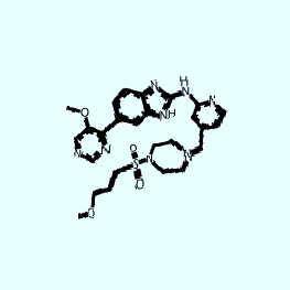 COCCCS(=O)(=O)N1CCN(Cc2ccnc(Nc3nc4ccc(-c5ncncc5OC)cc4[nH]3)c2)CC1